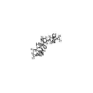 C#C/C(=C\C(=C/C)c1nncn1C1CC1)NC(=O)c1cc(-c2cnc(C3CC3)c(Cl)c2)ccn1